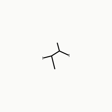 CC(I)C(C)I